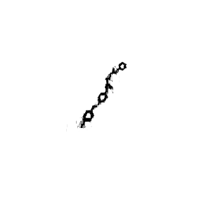 CS(=O)(=O)c1ccc(COc2ccc(-c3cn(C(=O)NCC4CN(c5ccccc5)C4)cn3)cc2)cc1